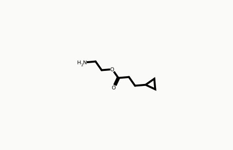 NCCOC(=O)CCC1CC1